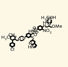 COCC(CNc1ccc(S(=O)(=O)NC(=O)c2ccc(N3CCN(CC4=C(c5ccc(Cl)cc5)CC(C)(C)CC4)CC3)cc2Sc2cnc3[nH]ccc3c2)cc1[N+](=O)[O-])N1CC[PH](C)(O)CC1